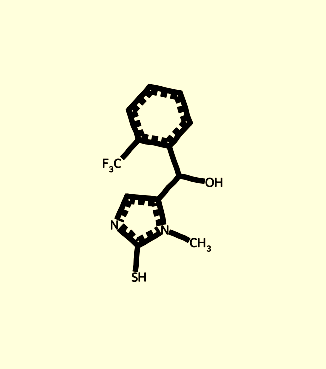 Cn1c(C(O)c2ccccc2C(F)(F)F)cnc1S